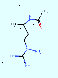 CC(=O)NC(C)CCN(N)C(=N)N